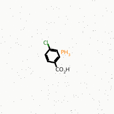 O=C(O)c1ccc(Cl)cc1.P